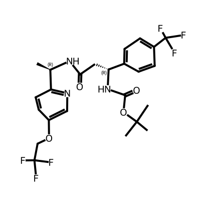 C[C@@H](NC(=O)C[C@@H](NC(=O)OC(C)(C)C)c1ccc(C(F)(F)F)cc1)c1ccc(OCC(F)(F)F)cn1